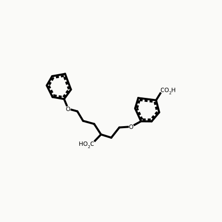 O=C(O)c1ccc(OCCC(CCCOc2ccccc2)C(=O)O)cc1